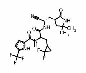 CC1(C)C[C@@H](C[C@@H](C#N)NC(=O)C(CC2CC2(F)F)NC(=O)c2ccc(C(F)(F)F)[nH]2)C(=O)N1